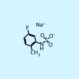 Cc1ccc(F)cc1NS(=O)(=O)[O-].[Na+]